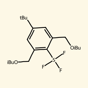 CC(C)COCc1cc(C(C)(C)C)cc(COCC(C)C)c1S(F)(F)F